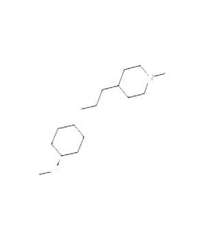 CO[C@H]1CC[C@H](CCCC2CCN(C)CC2)CC1